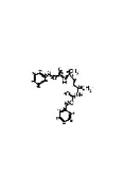 [CH2]C(CCC([CH2])NC(=O)OCc1ccccc1)NC(=O)OCc1ccccc1